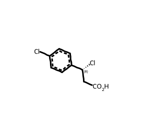 O=C(O)C[C@@H](Cl)c1ccc(Cl)cc1